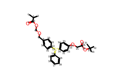 CC(C)C(=O)OCOCc1ccc([S+](c2ccccc2)c2ccc(OCC(=O)OC(C)(C)C)cc2)cc1